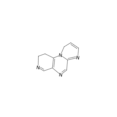 C1=CN=C2C=NC3=C(CCN=C3)N2C1